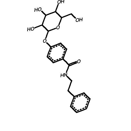 O=C(NCCc1ccccc1)c1ccc(OC2OC(CO)C(O)C(O)C2O)cc1